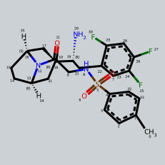 Cc1ccc(S(=O)(=O)NCC(=O)N2[C@@H]3CC[C@H]2C[C@@H]([C@H](N)Cc2cc(F)c(F)cc2F)C3)cc1